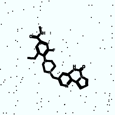 CCc1cc(C(=O)NC)cc(F)c1N1CCN(Cc2cnc3c(c2)[nH]c(=O)n2cccc32)CC1